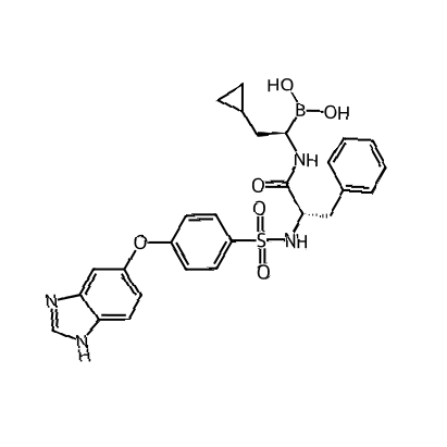 O=C(N[C@@H](CC1CC1)B(O)O)[C@H](Cc1ccccc1)NS(=O)(=O)c1ccc(Oc2ccc3[nH]cnc3c2)cc1